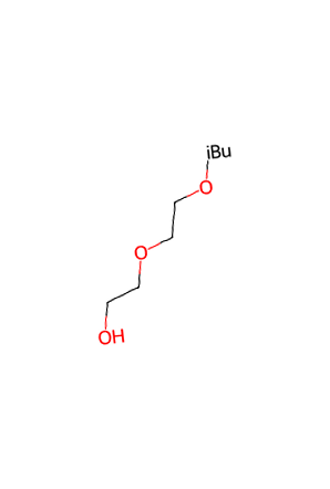 CCC(C)OCCOCCO